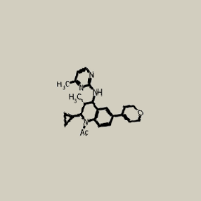 CC(=O)N1c2ccc(C3=CCOCC3)cc2C(Nc2nccc(C)n2)[C@@H](C)C1C1CC1